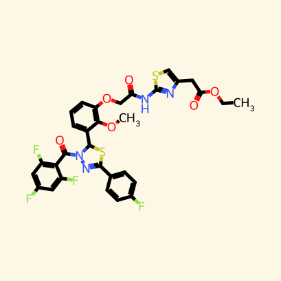 CCOC(=O)Cc1csc(NC(=O)COc2cccc(C3SC(c4ccc(F)cc4)=NN3C(=O)c3c(F)cc(F)cc3F)c2OC)n1